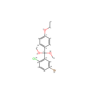 CCOc1ccc(C(OC)(OC)c2cc(Br)ccc2Cl)cc1